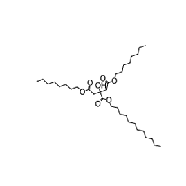 CCCCCCCCCCCCOC(=O)C(O)(CC(=O)OCCCCCCCC)CC(=O)OCCCCCCCC